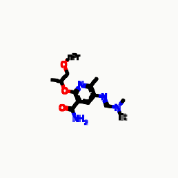 CCCOCC(C)Oc1nc(C)c(N=CN(C)CC)cc1C(N)=O